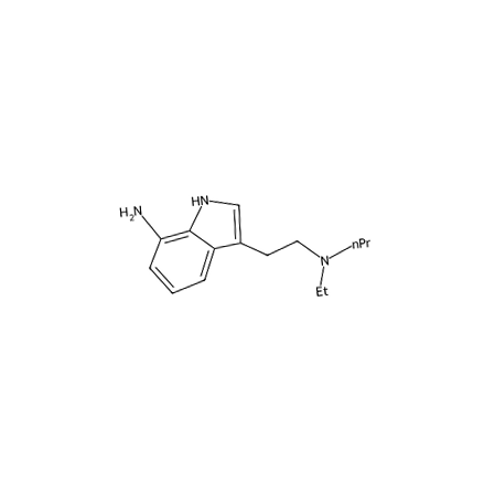 CCCN(CC)CCc1c[nH]c2c(N)cccc12